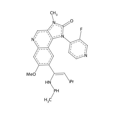 COc1cc2ncc3c(c2cc1/C(=C/C(C)C)NPC)n(-c1ccncc1F)c(=O)n3C